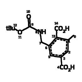 Cc1cc(C(=O)O)cc(CNC(=O)OC(C)(C)C)c1C(=O)O